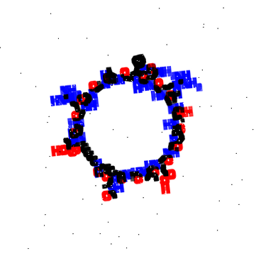 CCC(C)[C@@H]1NC(=O)[C@H](C)NC(=O)C(NC(=O)[C@H](C)NC(C)=O)CCC(=O)NCCCC[C@H](C(=O)NC(C)C(=O)O)NC(=O)C(C)NC(=O)[C@H](CCCNC(=N)N)NC(=O)C(C)NC(=O)[C@H](C)NC(=O)C(CC(C)C)NC(=O)[C@H](Cc2c[nH]c3ccccc23)NC(=O)[C@H](CCC(N)=O)NC(=O)[C@H](CCCNC(=N)N)NC(=O)[C@H](CC(C)C)NC(=O)C([C@@H](C)O)NC(=O)[C@@H]2CCCN2C(=O)CNC(=O)[C@H](CCC(=O)O)NC1=O